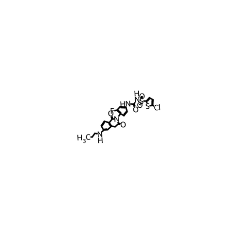 CCCNc1ccc2c(c1)CC(=O)N(c1ccc(NC(=O)NS(=O)(=O)c3ccc(Cl)s3)cc1F)C2=O